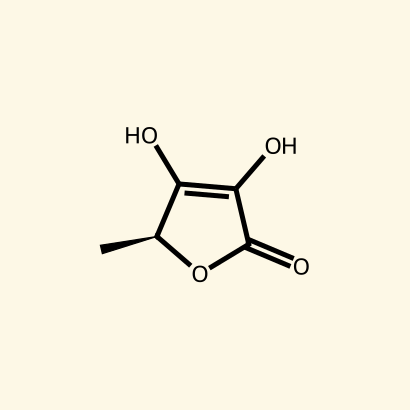 C[C@@H]1OC(=O)C(O)=C1O